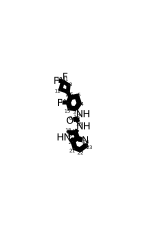 O=C(Nc1ccc(C2CC(F)(F)C2)c(F)c1)Nc1c[nH]c2cccnc12